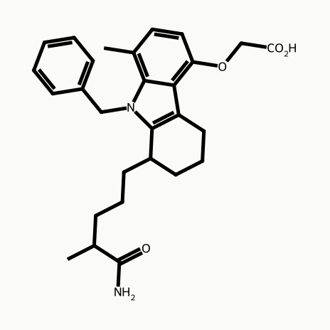 Cc1ccc(OCC(=O)O)c2c3c(n(Cc4ccccc4)c12)C(CCCC(C)C(N)=O)CCC3